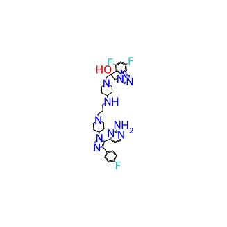 Nc1nccc(-c2c(-c3ccc(F)cc3)ncn2C2CCN(CCCNC3CCN(CC(O)(Cn4cncn4)c4ccc(F)cc4F)CC3)CC2)n1